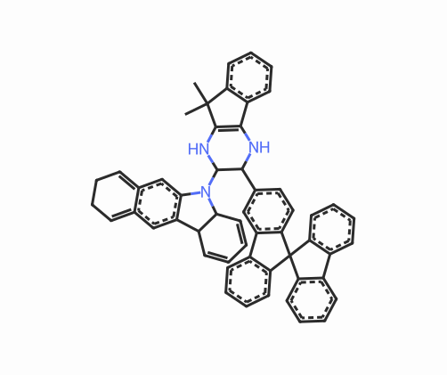 CC1(C)C2=C(NC(c3ccc4c(c3)-c3ccccc3C43c4ccccc4-c4ccccc43)C(N3c4cc5c(cc4C4C=CC=CC43)=CCCC=5)N2)c2ccccc21